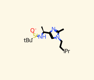 Cc1nc([C@H](C)N[S@@+]([O-])C(C)(C)C)cn1CCC(C)C